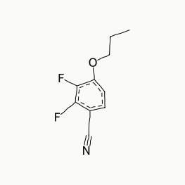 CCCOc1ccc(C#N)c(F)c1F